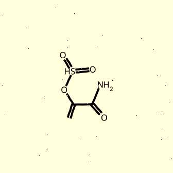 C=C(O[SH](=O)=O)C(N)=O